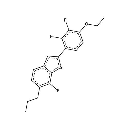 CCCc1ccc2cc(-c3ccc(OCC)c(F)c3F)sc2c1F